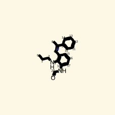 CCCNc1c(/C=C(/C)c2ccccc2)cccc1NC=O